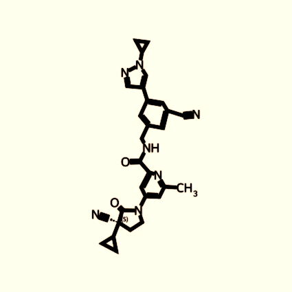 Cc1cc(N2CC[C@@](C#N)(C3CC3)C2=O)cc(C(=O)NCc2cc(C#N)cc(-c3cnn(C4CC4)c3)c2)n1